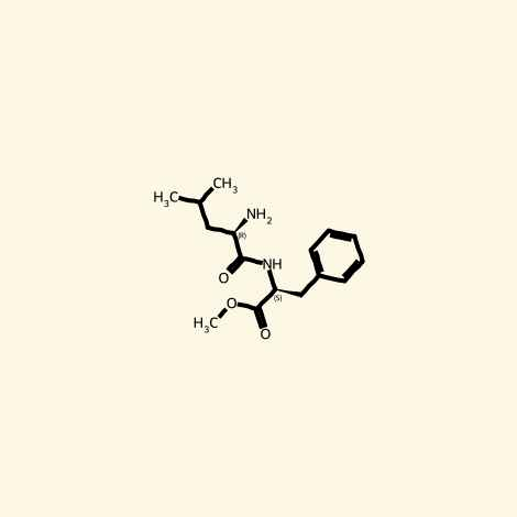 COC(=O)[C@H](Cc1ccccc1)NC(=O)[C@H](N)CC(C)C